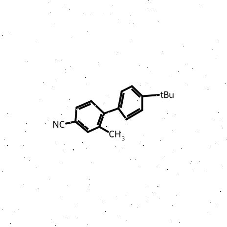 Cc1cc(C#N)ccc1-c1ccc(C(C)(C)C)cc1